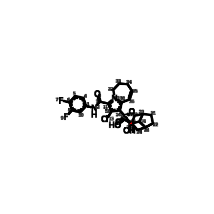 O=C(Nc1ccc(F)c(F)c1)c1c(Cl)c(S(=O)(=O)NC2C3CCC2CC(O)(CO)C3)c2n1CCCC=C2